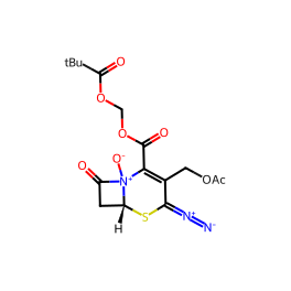 CC(=O)OCC1=C(C(=O)OCOC(=O)C(C)(C)C)[N+]2([O-])C(=O)C[C@H]2SC1=[N+]=[N-]